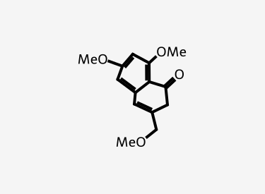 COCC1=Cc2cc(OC)cc(OC)c2C(=O)C1